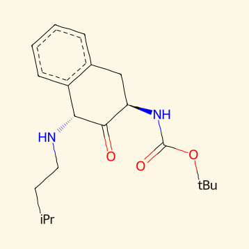 CC(C)CCN[C@H]1C(=O)[C@H](NC(=O)OC(C)(C)C)Cc2ccccc21